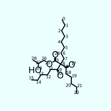 CCCCCCCCC(C(=O)CCCCC)(C(=O)CCCCC)C(=O)OCC(C)O